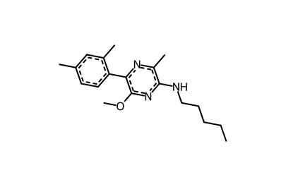 CCCCCNc1nc(OC)c(-c2ccc(C)cc2C)nc1C